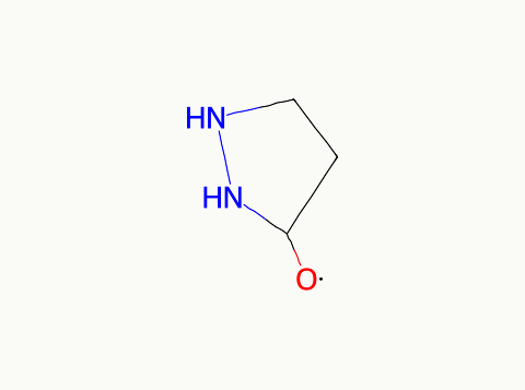 [O]C1CCNN1